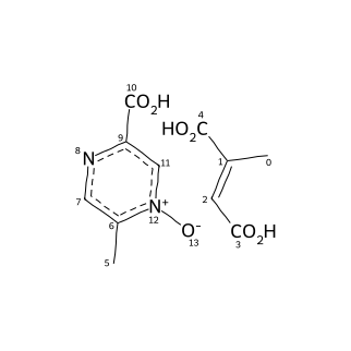 C/C(=C\C(=O)O)C(=O)O.Cc1cnc(C(=O)O)c[n+]1[O-]